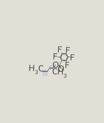 C/C=C\C=C(/C)OC(=O)c1c(F)c(F)c(F)c(F)c1F